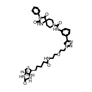 O=C(CCCC[C@@H]1SC[C@@H]2NC(=O)N[C@@H]21)NCCOCCn1cc(-c2cccc(NC(=O)N3CCC4(CC3)NC(=O)N(c3ccccc3)C4=O)c2)nn1